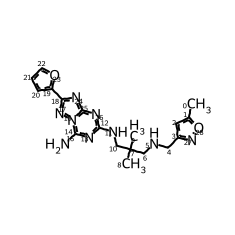 Cc1cc(CNCC(C)(C)CNc2nc(N)n3nc(-c4ccco4)nc3n2)no1